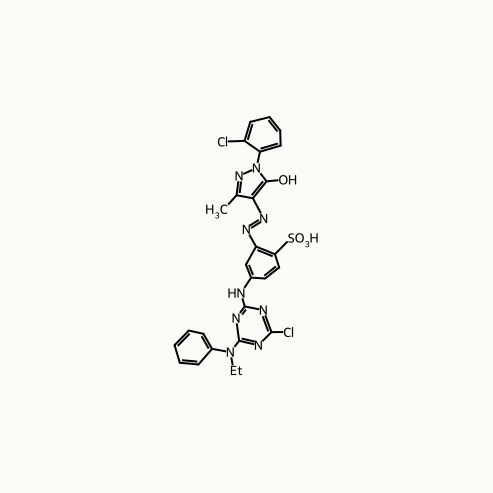 CCN(c1ccccc1)c1nc(Cl)nc(Nc2ccc(S(=O)(=O)O)c(/N=N/c3c(C)nn(-c4ccccc4Cl)c3O)c2)n1